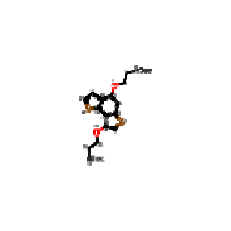 CCCCCCCCCCCCOc1cc2scc(OCCCCCCCCCCCC)c2c2sccc12